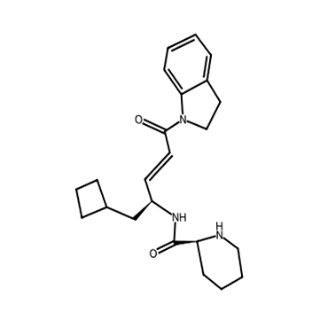 O=C(N[C@H](/C=C/C(=O)N1CCc2ccccc21)CC1CCC1)[C@@H]1CCCCN1